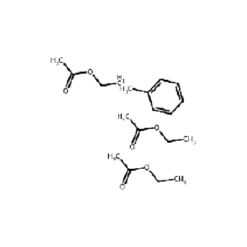 CCOC(C)=O.CCOC(C)=O.CCOC(C)=O.Cc1ccccc1